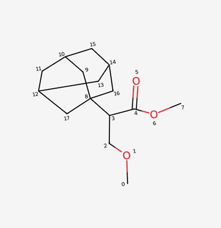 COCC(C(=O)OC)C12CC3CC(CC(C3)C1)C2